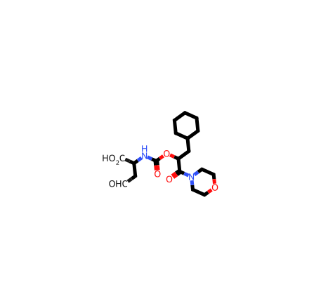 O=CCC(NC(=O)OC(CC1CCCCC1)C(=O)N1CCOCC1)C(=O)O